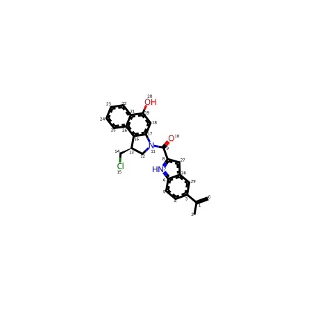 C=C(C)c1ccc2[nH]c(C(=O)N3C[C@@H](CCl)c4c3cc(O)c3ccccc43)cc2c1